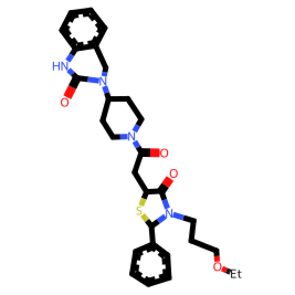 CCOCCCN1C(=O)C(CC(=O)N2CCC(N3Cc4ccccc4NC3=O)CC2)SC1c1ccccc1